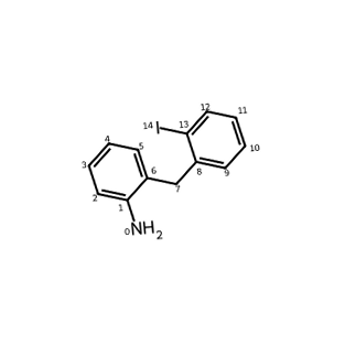 Nc1ccccc1Cc1ccccc1I